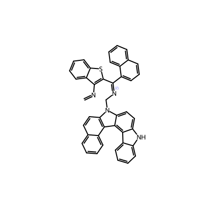 C=Nc1c(/C(=N\Cn2c3ccc4ccccc4c3c3c4c(ccc32)[nH]c2ccccc24)c2cccc3ccccc23)sc2ccccc12